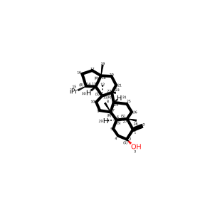 C=C1[C@@H](O)CC[C@H]2[C@]3(C)CC[C@@]4(C)[C@@H]5[C@@H](C(C)C)CC[C@]5(C)CC[C@]4(C)[C@H]3CC[C@]12C